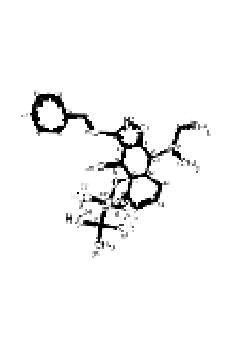 CCN(C)[C@@H]1c2onc(OCc3ccccc3)c2C(=O)[C@@]2(O[Si](C)(C)C(C)(C)C)C(=O)C=CCC12